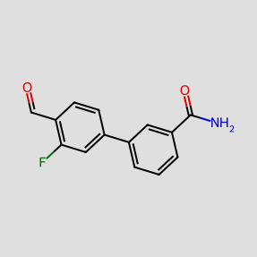 NC(=O)c1cccc(-c2ccc(C=O)c(F)c2)c1